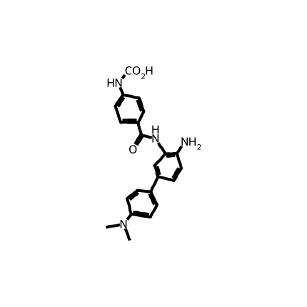 CN(C)c1ccc(-c2ccc(N)c(NC(=O)c3ccc(NC(=O)O)cc3)c2)cc1